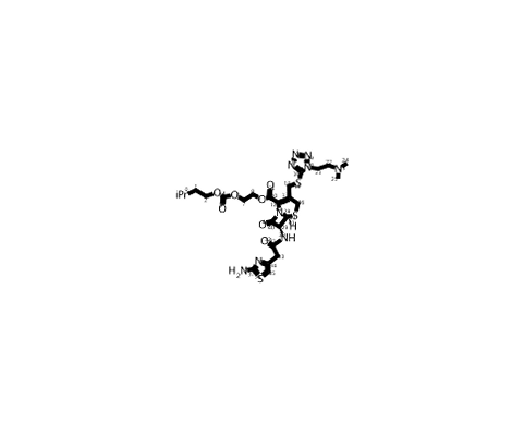 CC(C)CCOC(=O)OCCOC(=O)C1=C(CSc2nnnn2CCN(C)C)CS[C@H]2[C@@H](NC(=O)Cc3csc(N)n3)C(=O)N12